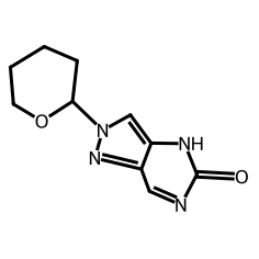 O=c1ncc2nn(C3CCCCO3)cc2[nH]1